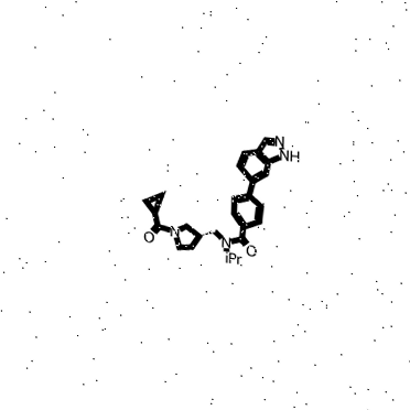 CC(C)N(C[C@@H]1CCN(C(=O)C2CC2)C1)C(=O)c1ccc(-c2ccc3cn[nH]c3c2)cc1